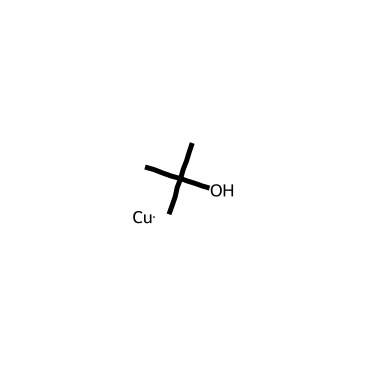 CC(C)(C)O.[Cu]